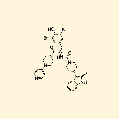 O=C(N[C@H](Cc1cc(Br)c(O)c(Br)c1)C(=O)N1CCN(c2ccncc2)CC1)N1CCC(n2c(=O)[nH]c3ccccc32)CC1